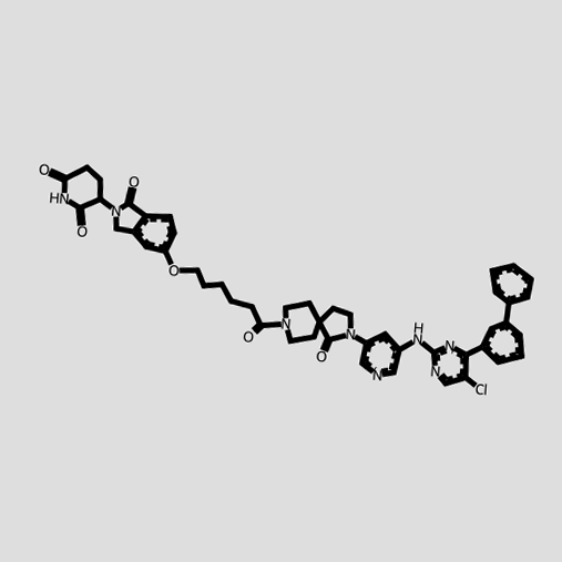 O=C1CCC(N2Cc3cc(OCCCCCC(=O)N4CCC5(CC4)CCN(c4cncc(Nc6ncc(Cl)c(-c7cccc(-c8ccccc8)c7)n6)c4)C5=O)ccc3C2=O)C(=O)N1